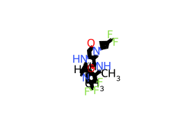 C[C@@H](NC(=O)c1cn(C23CC(C(F)F)(C2)C3)c(=O)cc1N[C@@H]1[C@@H]2CN(C)C[C@@H]21)c1cccc(C(F)F)c1F